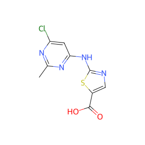 Cc1nc(Cl)cc(Nc2ncc(C(=O)O)s2)n1